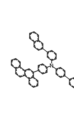 c1ccc(-c2ccc(N(c3ccc(-c4cc5c6ccccc6ccc5c5ccccc45)cc3)c3cccc(-c4ccc5ccccc5c4)c3)cc2)cc1